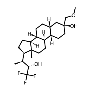 COC[C@]1(O)CC[C@H]2[C@H](CC[C@@H]3[C@@H]2CC[C@]2(C)[C@@H]([C@H](C)[C@H](O)C(F)(F)F)CC[C@@H]32)C1